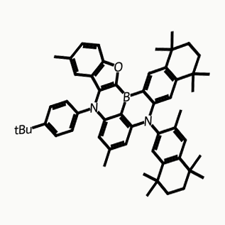 Cc1cc2c3c(c1)N(c1ccc(C(C)(C)C)cc1)c1c(oc4ccc(C)cc14)B3c1cc3c(cc1N2c1cc2c(cc1C)C(C)(C)CCC2(C)C)C(C)(C)CCC3(C)C